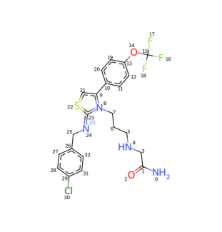 NC(=O)CNCCCn1c(-c2ccc(OC(F)(F)F)cc2)cs/c1=N\Cc1ccc(Cl)cc1